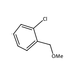 COCc1cc[c]cc1Cl